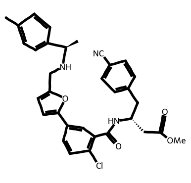 COC(=O)C[C@@H](Cc1ccc(C#N)cc1)NC(=O)c1cc(-c2ccc(CN[C@H](C)c3ccc(C)cc3)o2)ccc1Cl